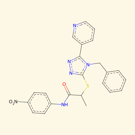 CC(Sc1nnc(-c2cccnc2)n1Cc1ccccc1)C(=O)Nc1ccc([N+](=O)[O-])cc1